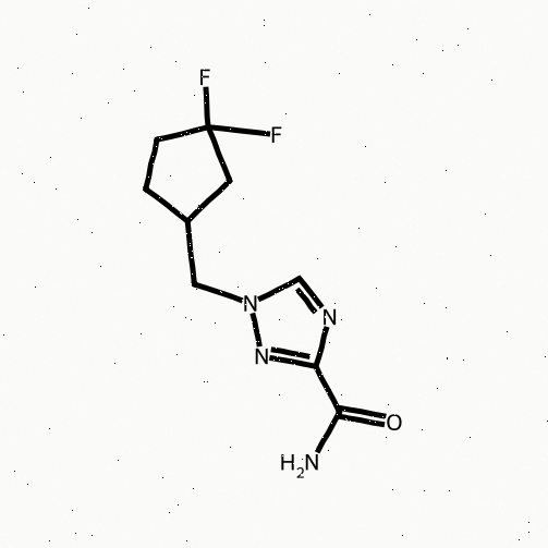 NC(=O)c1ncn(CC2CCC(F)(F)C2)n1